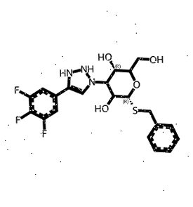 OCC1O[C@H](SCc2ccccc2)C(O)C(N2C=C(c3cc(F)c(F)c(F)c3)NN2)[C@H]1O